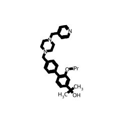 CC(C)Oc1cc(C(C)(C)O)ccc1-c1ccc(CN2CCN(Cc3ccncc3)CC2)cc1